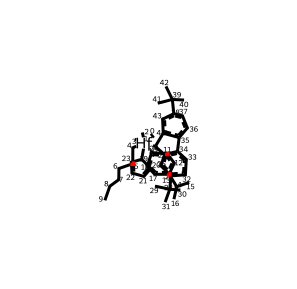 [CH2]=[Hf]([CH3])([CH3])([CH2]CCCCC)([c]1ccc(C(C)C)cc1)([CH]1C=CC=C1)[CH]1c2cc(C(C)(C)C)ccc2-c2ccc(C(C)(C)C)cc21